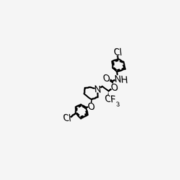 O=C(Nc1ccc(Cl)cc1)O[C@@H](CN1CCC[C@H](Oc2ccc(Cl)cc2)C1)C(F)(F)F